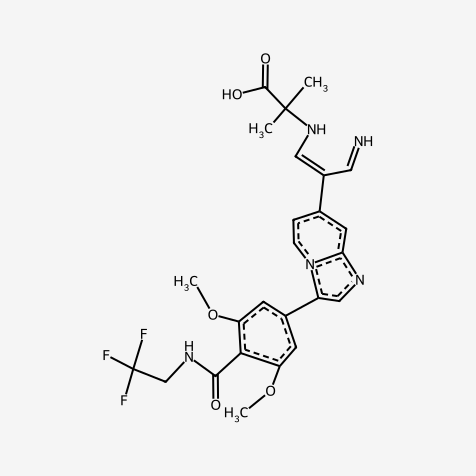 COc1cc(-c2cnc3cc(/C(C=N)=C/NC(C)(C)C(=O)O)ccn23)cc(OC)c1C(=O)NCC(F)(F)F